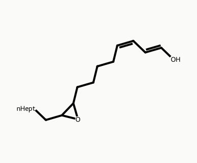 CCCCCCCCC1OC1CCCC/C=C\C=C\O